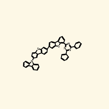 c1ccc(-c2nc(-c3ccccc3)nc(-c3cccc4c3sc3cc(-c5ccc6c(c5)sc5ccc(-n7c8ccccc8c8ccccc87)cc56)ccc34)n2)cc1